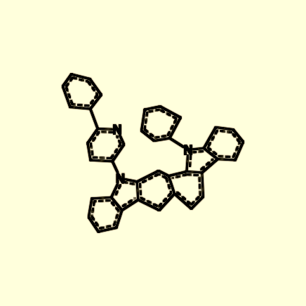 c1ccc(-c2ccc(-n3c4ccccc4c4cc5ccc6c7ccccc7n(-c7ccccc7)c6c5cc43)cn2)cc1